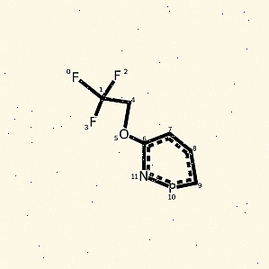 FC(F)(F)COc1cccpn1